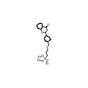 CCO[Si](CCCSCc1ccc(C2CC(=O)c3ccccc3O2)cc1)(OCC)OCC